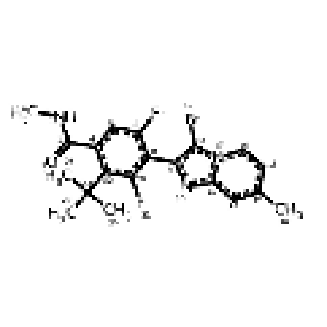 CNC(=O)c1cc(F)c(-c2nc3cc(C)ccn3c2Br)c(F)c1C(C)(C)C